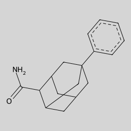 NC(=O)C1C2CC3CC1CC(c1ccccc1)(C3)C2